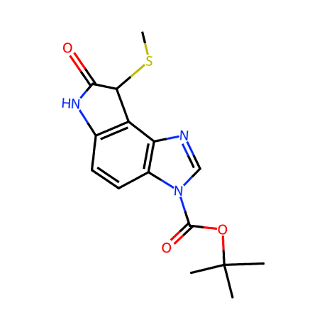 CSC1C(=O)Nc2ccc3c(ncn3C(=O)OC(C)(C)C)c21